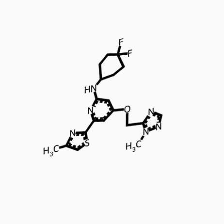 Cc1csc(-c2cc(OCc3ncnn3C)cc(NC3CCC(F)(F)CC3)n2)n1